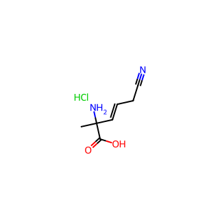 CC(N)(C=CCC#N)C(=O)O.Cl